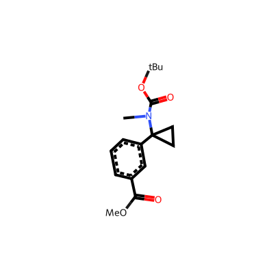 COC(=O)c1cccc(C2(N(C)C(=O)OC(C)(C)C)CC2)c1